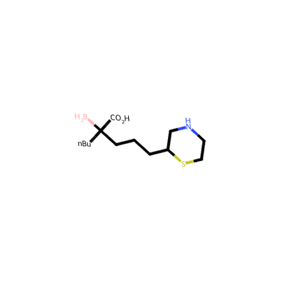 BC(CCCC)(CCCC1CNCCS1)C(=O)O